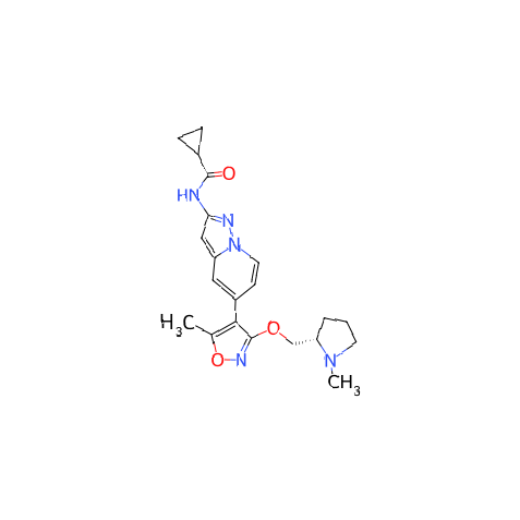 Cc1onc(OC[C@@H]2CCCN2C)c1-c1ccn2nc(NC(=O)C3CC3)cc2c1